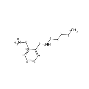 CCCCCNCc1ccccc1CN